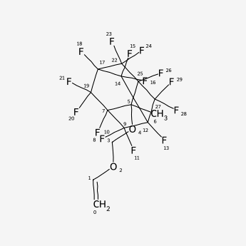 C=COCOC1(C)C2(F)C(F)(F)C3(F)C(F)(F)C(F)(C2(F)F)C(F)(F)C1(F)C3(F)F